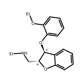 CCNC[C@H]1Oc2ccccc2[C@@H]1Oc1ccccc1OCC